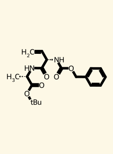 C=C[C@H](NC(=O)OCc1ccccc1)C(=O)N[C@@H](C)C(=O)OC(C)(C)C